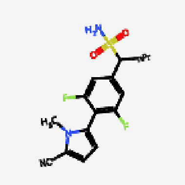 CCCC(c1cc(F)c(-c2ccc(C#N)n2C)c(F)c1)S(N)(=O)=O